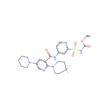 CC(C)(C)OC(=O)NS(=O)(=O)c1cc(NC(=O)c2cc(N3CCCCC3)cnc2N2CCC(F)(F)CC2)ccn1